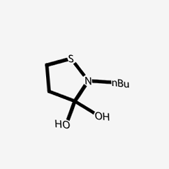 [CH2]CCCN1SCCC1(O)O